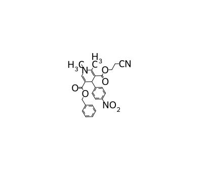 CC1=C(C(=O)OCCC#N)C(c2ccc([N+](=O)[O-])cc2)C(C(=O)OCc2ccccc2)=CN1C